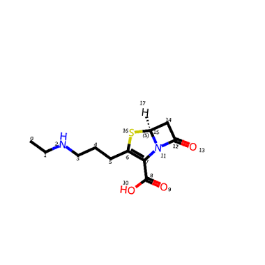 CCNCCCC1=C(C(=O)O)N2C(=O)C[C@@H]2S1